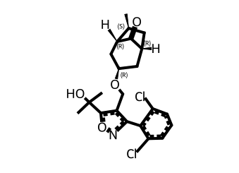 C[C@H]1C[C@@H]2C[C@@H](OCc3c(-c4c(Cl)cccc4Cl)noc3C(C)(C)O)C[C@H]1C2=O